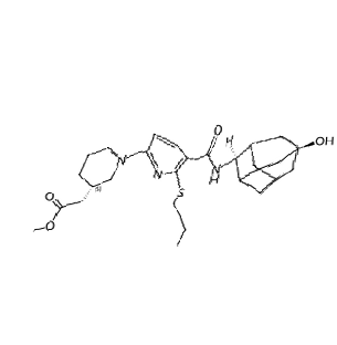 CCCSc1nc(N2CCC[C@@H](CC(=O)OC)C2)ccc1C(=O)N[C@H]1C2CC3CC1C[C@@](O)(C3)C2